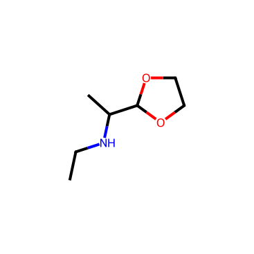 CCNC(C)C1OCCO1